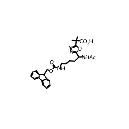 CC(=O)NC(CCCCNC(=O)OCC1c2ccccc2-c2ccccc21)c1nnc(C(C)(C)C(=O)O)o1